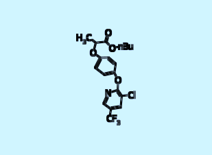 CCCCOC(=O)C(C)Oc1ccc(Oc2ncc(C(F)(F)F)cc2Cl)cc1